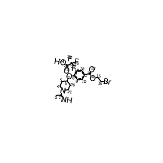 CC(=N)N1CCC(Oc2ccc(C(=O)OCCBr)cc2)CC1.O=C(O)C(F)(F)F